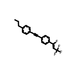 CCCc1ccc(C#Cc2ccc(/C(F)=C/C(F)(F)F)cc2)cc1